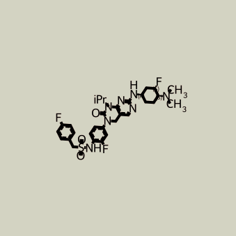 CC(C)N1C(=O)N(c2ccc(NS(=O)(=O)Cc3ccc(F)cc3)c(F)c2)Cc2cnc(N[C@@H]3CC[C@H](N(C)C)[C@@H](F)C3)nc21